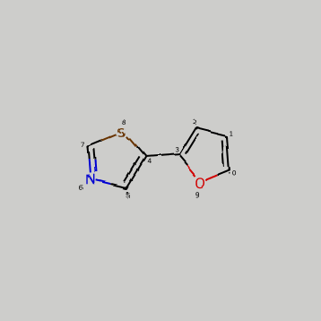 [c]1ccc(-c2cncs2)o1